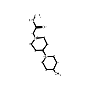 CNC(=O)CN1CCC(N2CCC(C)CC2)CC1